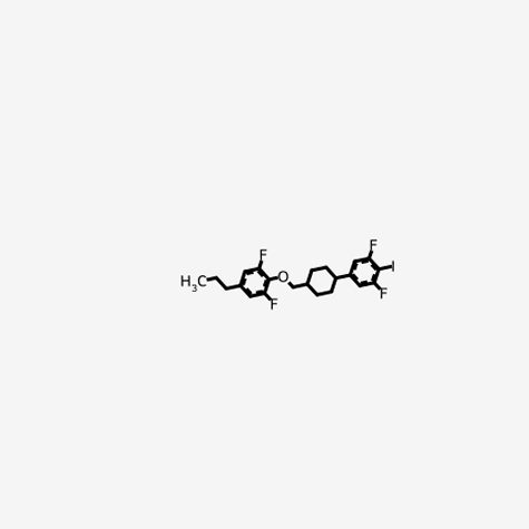 CCCc1cc(F)c(OCC2CCC(c3cc(F)c(I)c(F)c3)CC2)c(F)c1